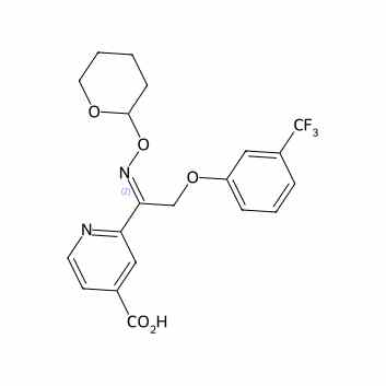 O=C(O)c1ccnc(/C(COc2cccc(C(F)(F)F)c2)=N/OC2CCCCO2)c1